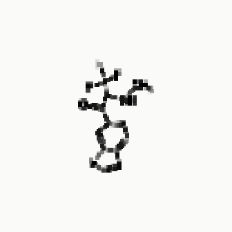 CNC(C(=O)c1ccc2ccsc2c1)C(F)(F)F